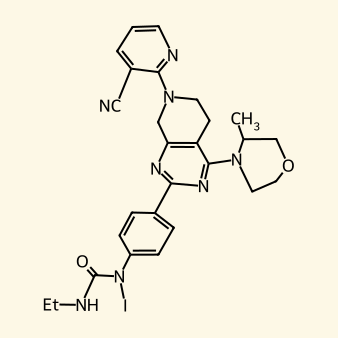 CCNC(=O)N(I)c1ccc(-c2nc3c(c(N4CCOCC4C)n2)CCN(c2ncccc2C#N)C3)cc1